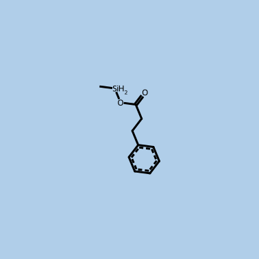 C[SiH2]OC(=O)CCc1ccccc1